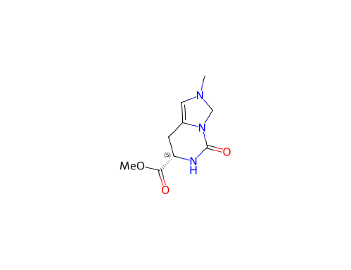 COC(=O)[C@@H]1CC2=CN(C)CN2C(=O)N1